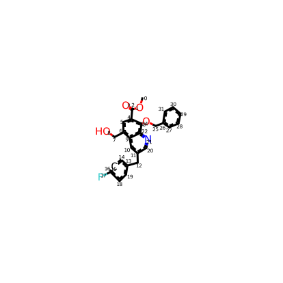 COC(=O)c1cc(CO)c2cc(Cc3ccc(F)cc3)cnc2c1OCc1ccccc1